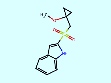 COC1(CS(=O)(=O)c2cc3ccccc3[nH]2)CC1